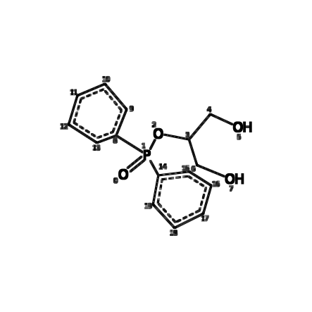 O=P(OC(CO)CO)(c1ccccc1)c1ccccc1